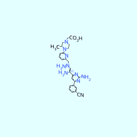 CC1CN(CC(=O)O)CCN1c1cccc(CN(N)/C=C(\N)c2cc(-c3cccc(C#N)c3)nc(N)n2)n1